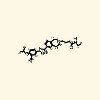 CCNC(=O)CCCN1CCc2ccc(-c3noc(-c4ccc(OC(C)C)c(C#N)c4)n3)cc2CC1